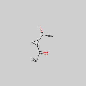 CC(C)(C)C(=O)C1CC1C(=O)C(C)(C)C